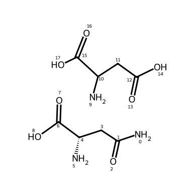 NC(=O)C[C@H](N)C(=O)O.NC(CC(=O)O)C(=O)O